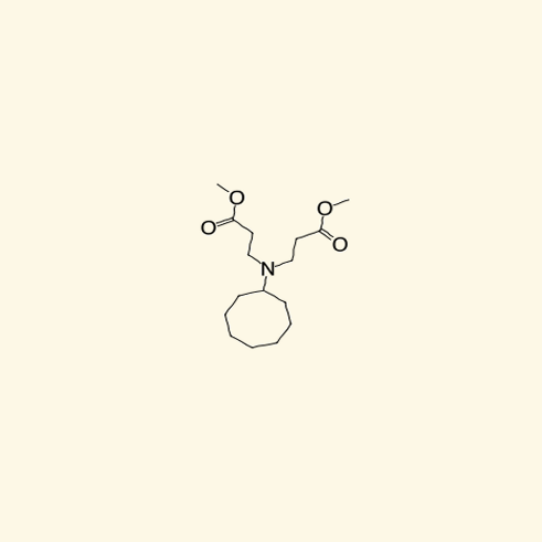 COC(=O)CCN(CCC(=O)OC)C1CCCCCCC1